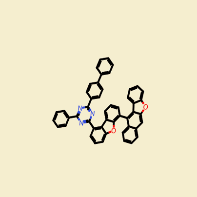 c1ccc(-c2ccc(-c3nc(-c4ccccc4)nc(-c4cccc5oc6c(-c7c8ccccc8cc8oc9ccccc9c78)cccc6c45)n3)cc2)cc1